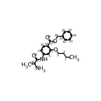 CCCCOc1cc(NC(=O)[C@H](C)N)ccc1C(=O)OCc1ccccc1